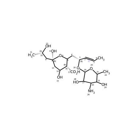 C/C=C/[C@@H](CC1O[C@](O)(C[C@H](C)O)CC(O)[C@H]1C(=O)O)OC1OC(C)C(O)C(N)C1O